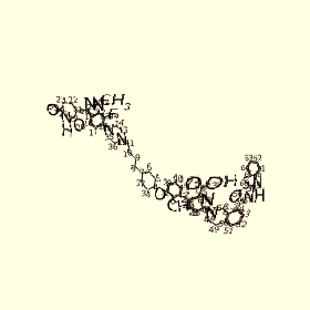 Cc1c(OC2CCC(CCCCN3CCN(c4ccc5c(C6CCC(=O)NC6=O)nn(C)c5c4F)CC3)CC2)cccc1-c1ccc(N2CCc3cccc(C(=O)Nc4nc5ccccc5s4)c3C2)nc1C(=O)O